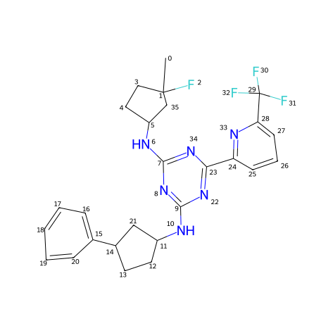 CC1(F)CCC(Nc2nc(NC3CCC(c4ccccc4)C3)nc(-c3cccc(C(F)(F)F)n3)n2)C1